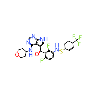 O=C(c1c(F)ccc(NSC2C=CC(C(F)(F)F)CC2)c1F)c1c[nH]c2ncnc(NC3CCOCC3)c12